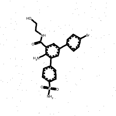 Nc1c(C(=O)NCCO)cc(-c2ccc(Br)cc2)cc1-c1ccc(S(N)(=O)=O)cc1